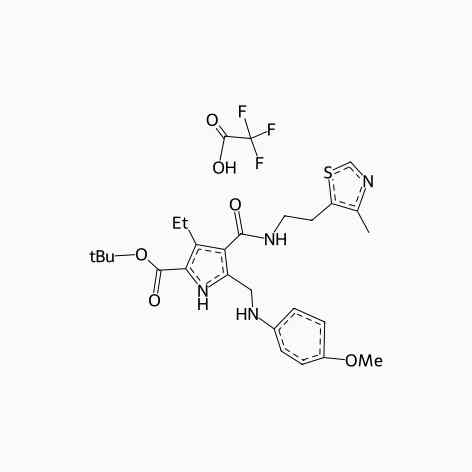 CCc1c(C(=O)OC(C)(C)C)[nH]c(CNc2ccc(OC)cc2)c1C(=O)NCCc1scnc1C.O=C(O)C(F)(F)F